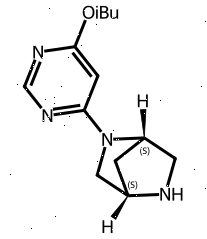 CC(C)COc1cc(N2C[C@@H]3C[C@H]2CN3)ncn1